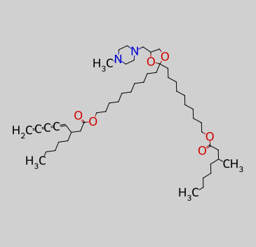 C=C=C=C=CC(CCCCC)CC(=O)OCCCCCCCCCCC1(CCCCCCCCCCOC(=O)CC(C)CCCCC)OCC(CN2CCN(C)CC2)O1